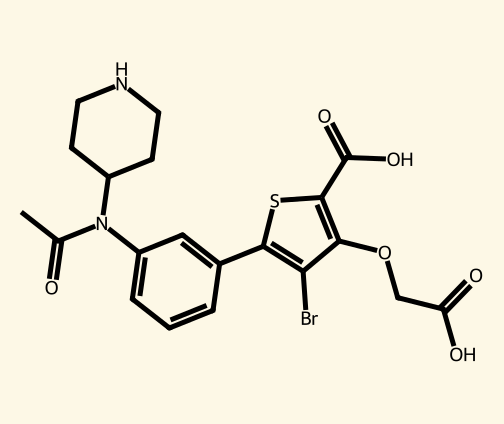 CC(=O)N(c1cccc(-c2sc(C(=O)O)c(OCC(=O)O)c2Br)c1)C1CCNCC1